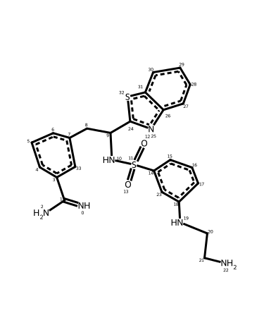 N=C(N)c1cccc(CC(NS(=O)(=O)c2cccc(NCCN)c2)c2nc3ccccc3s2)c1